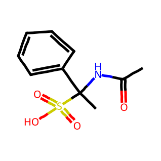 CC(=O)NC(C)(c1ccccc1)S(=O)(=O)O